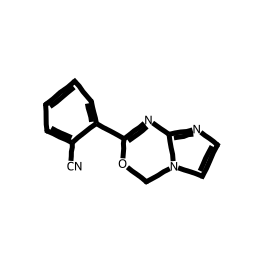 N#Cc1ccccc1C1=Nc2nccn2CO1